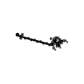 CCOC(=O)c1cc2c(-c3cc(C(C)(C)O)ccc3Oc3c(C)cc(OCCOCCOCCOCCOCCOCCOCCOCCOCCNC(=O)OCc4ccccc4)cc3C)cn(C)c(=O)c2[nH]1